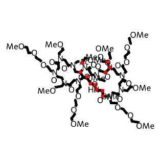 COCCNCC(=O)N(CCOCCOCCOC)CC(=O)N(CCOC)CC(=O)N(CCOCCOCCOC)CC(=O)N(CCOC)CC(=O)N(CCOCCOCCOC)CC(=O)N(CCOC)CC(=O)N(CCOCCOCCOC)CC(=O)N(CCOC)CC(=O)N(CCOCCOCCOC)CC(=O)N(CCOC)CC(=O)N(CCOCCOCCOC)CC(C)=O